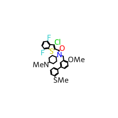 CN[C@H]1CC[C@H](N(Cc2cc(-c3cccc(SC)c3)ccc2OC)C(=O)c2sc3c(F)ccc(F)c3c2Cl)CC1